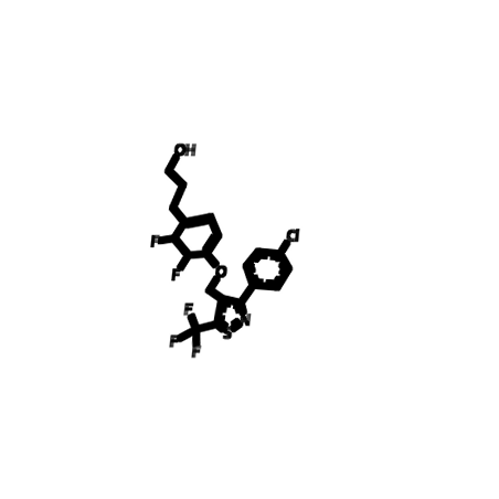 OCCCC1=CC=C(OCc2c(-c3ccc(Cl)cc3)nsc2C(F)(F)F)C(F)C1F